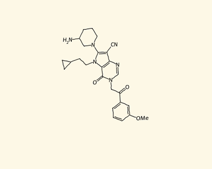 COc1cccc(C(=O)Cn2cnc3c(C#N)c(N4CCCC(N)C4)n(CCC4CC4)c3c2=O)c1